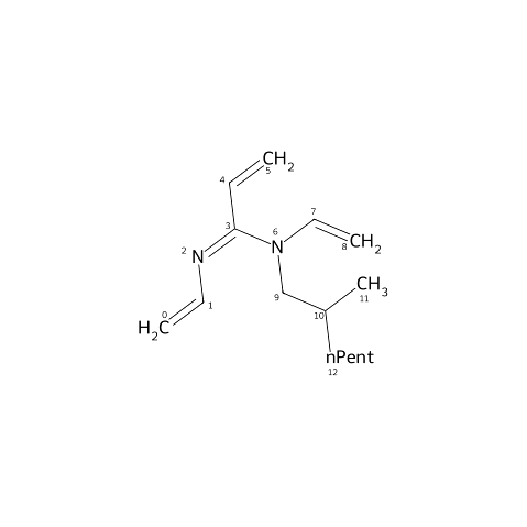 C=C/N=C(/C=C)N(C=C)CC(C)CCCCC